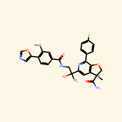 COc1cc(C(=O)NCC(O)(c2cc3c(c(-c4ccc(F)cc4)n2)OC[C@]3(C)C(N)=O)C(F)(F)F)ccc1-c1cnco1